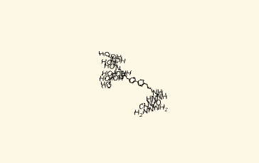 N=C(NCCCCc1ccc(-c2ccc(CCC(=O)NCCN(C[C@H](O)[C@@H](O)[C@H](O)[C@H](O)CO)C[C@H](O)[C@@H](O)[C@H](O)[C@H](O)CO)cc2)cc1)NC(=O)c1nc(Cl)c(N)nc1N